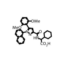 COc1cccc(OC)c1-c1cc(C(=O)NC(C(=O)O)C2CCCCC2)nn1-c1cccc2ccccc12